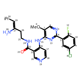 COc1cnc(-c2cc(Cl)ccc2F)nc1Nc1ccncc1C(=O)NCCC(N)=CC(C)C